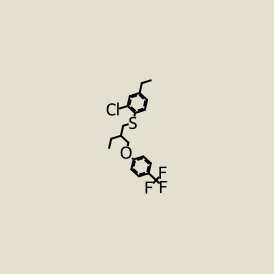 CCc1ccc(SCC(CC)COc2ccc(C(F)(F)F)cc2)c(Cl)c1